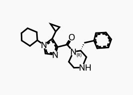 O=C(c1ncn(C2CCCCC2)c1C1CC1)N1CCNC[C@H]1Cc1ccccc1